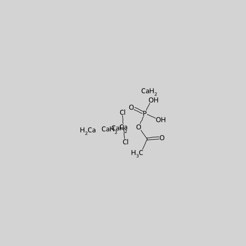 CC(=O)OP(=O)(O)O.[CaH2].[CaH2].[CaH2].[CaH2].[Cl][Ca][Cl]